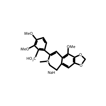 COc1ccc(C2=Cc3c(cc4c(c3OC)OCO4)CCN2C)c(C(=O)O)c1OC.[NaH]